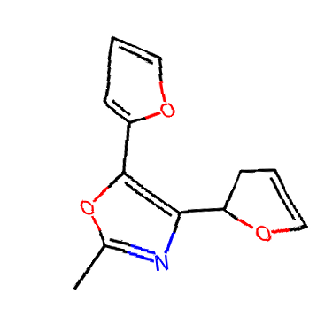 Cc1nc(C2CC=CO2)c(-c2ccco2)o1